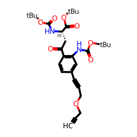 C#CCOCC#Cc1ccc(C(=O)C[C@H](NC(=O)OC(C)(C)C)C(=O)OC(C)(C)C)c(NC(=O)OC(C)(C)C)c1